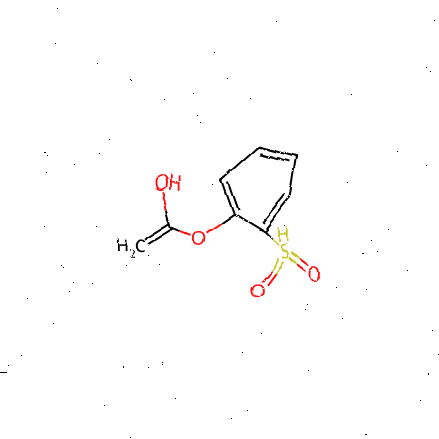 C=C(O)Oc1ccccc1[SH](=O)=O